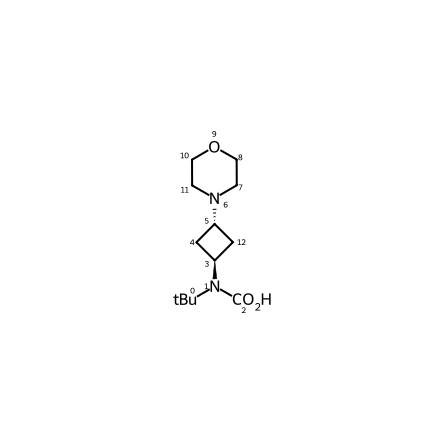 CC(C)(C)N(C(=O)O)[C@H]1C[C@H](N2CCOCC2)C1